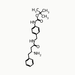 CC(C)(C)OC(=O)Nc1ccc(CNC(=O)C[C@H](N)Cc2ccccc2)cc1